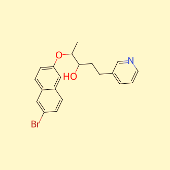 CC(Oc1ccc2cc(Br)ccc2c1)C(O)CCc1cccnc1